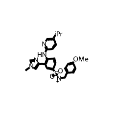 COc1ccc(CN(C)S(=O)(=O)c2ccc(Nc3ccc(C(C)C)cn3)c(-c3cn(C)cn3)c2)cc1